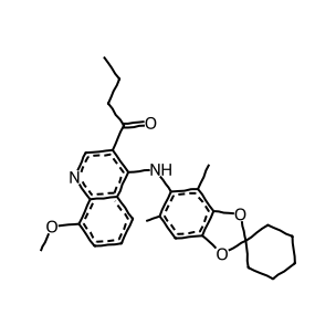 CCCC(=O)c1cnc2c(OC)cccc2c1Nc1c(C)cc2c(c1C)OC1(CCCCC1)O2